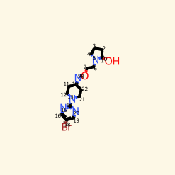 OC1CCCN1CCON=C1CCN(c2ncc(Br)cn2)CC1